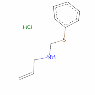 C=CCNCSc1ccccc1.Cl